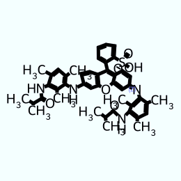 Cc1cc(C)c(NC(=O)C(C)C)c(C)c1/N=c1/ccc2c(-c3ccccc3S(=O)(=O)O)c3ccc(Nc4c(C)cc(C)c(NC(=O)C(C)C)c4C)cc3oc-2c1